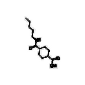 CCCCCNC(=O)C1CCC(C(=O)O)CC1